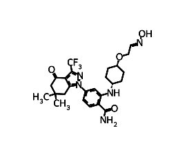 CC1(C)CC(=O)c2c(C(F)(F)F)nn(-c3ccc(C(N)=O)c(N[C@H]4CC[C@H](OC/C=N/O)CC4)c3)c2C1